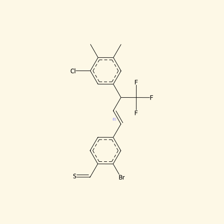 Cc1cc(C(/C=C/c2ccc(C=S)c(Br)c2)C(F)(F)F)cc(Cl)c1C